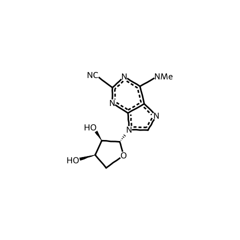 CNc1nc(C#N)nc2c1ncn2[C@@H]1OC[C@@H](O)[C@H]1O